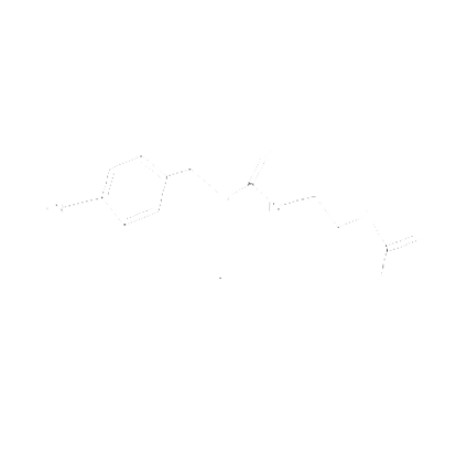 O=C(NCCSC(=S)[S-])OCc1ccc([N+](=O)[O-])cc1.[K+]